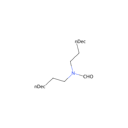 CCCCCCCCCCCCN(C=O)CCCCCCCCCCCC